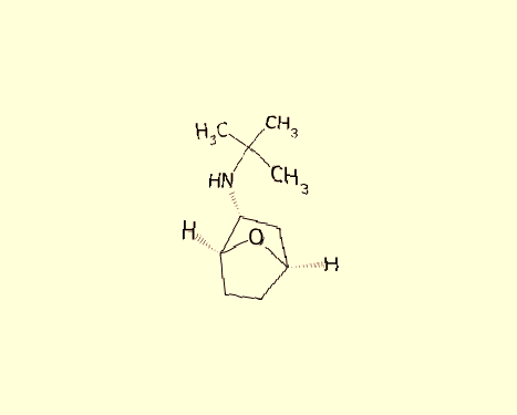 CC(C)(C)N[C@@H]1C[C@H]2CC[C@@H]1O2